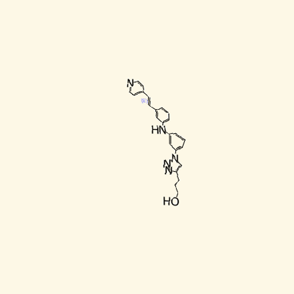 OCCCc1cn(-c2cccc(Nc3cccc(/C=C/c4ccncc4)c3)c2)nn1